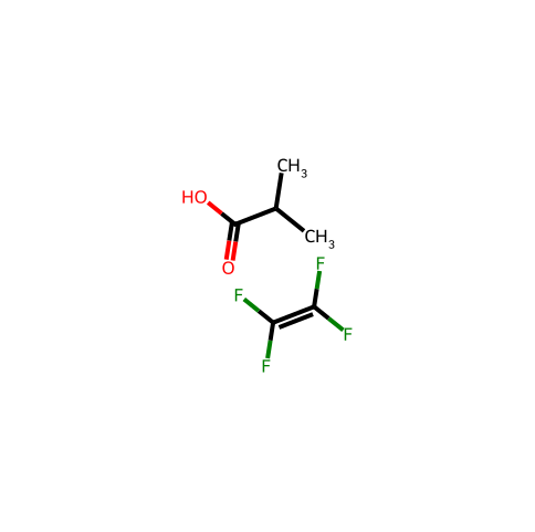 CC(C)C(=O)O.FC(F)=C(F)F